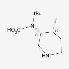 C[C@@H]1CCNC[C@@H]1N(C(=O)O)C(C)(C)C